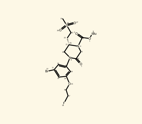 CC(C)(C)OC(=O)N1CC(=O)N(c2cc(Br)cc(OCCF)c2)C[C@@H]1CCS(C)(=O)=O